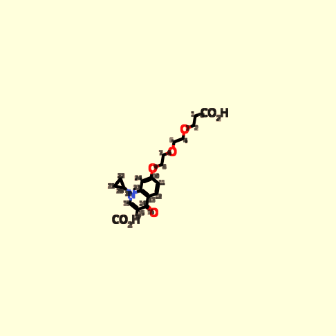 O=C(O)CCOCCOCCOc1ccc2c(=O)c(C(=O)O)cn(C3CC3)c2c1